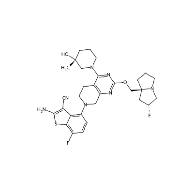 C[C@@]1(O)CCCN(c2nc(OC[C@@]34CCCN3C[C@H](F)C4)nc3c2CCN(c2ccc(F)c4sc(N)c(C#N)c24)C3)C1